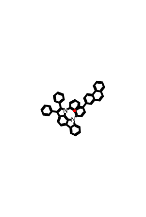 c1ccc(-c2c(-c3ccccc3)n(-c3ccccc3)c3c2ccc2c4ccccc4n(-c4ccc(-c5ccc6c(ccc7ccccc76)c5)cc4)c23)cc1